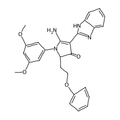 COc1cc(OC)cc(N2C(N)=C(c3nc4ccccc4[nH]3)C(=O)C2CCOc2ccccc2)c1